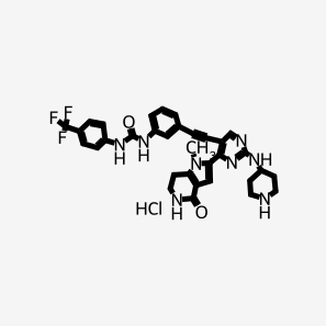 Cl.Cn1c(-c2nc(NC3CCNCC3)ncc2C#Cc2cccc(NC(=O)Nc3ccc(C(F)(F)F)cc3)c2)cc2c1CCNC2=O